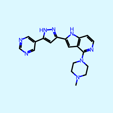 CN1CCN(c2nccc3[nH]c(-c4cc(-c5cncnc5)[nH]n4)cc23)CC1